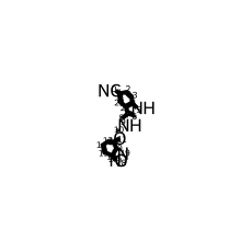 N#Cc1ccc2[nH]cc(CNCOc3cccc4nonc34)c2c1